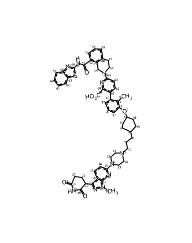 Cc1c(OC2CCC(CCCN3CCN(c4ccc5c(C6CCC(=O)NC6=O)nn(C)c5n4)CC3)CC2)cccc1-c1ccc(N2CCc3cccc(C(=O)Nc4nc5ccccc5s4)c3C2)nc1C(=O)O